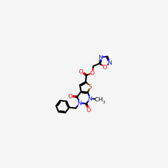 Cn1c(=O)n(Cc2ccccc2)c(=O)c2cc(C(=O)OCc3ncno3)sc21